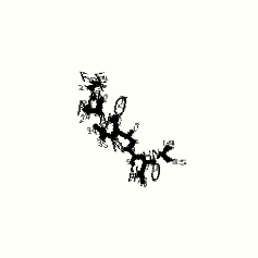 Cc1cc(-c2cnc(C)c(C(=O)NC(C)C)c2)nc2c1C(=O)N(c1cnn(CC(F)(F)F)c1)C2(C)C